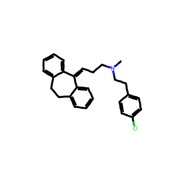 CN(CCC=C1c2ccccc2CCc2ccccc21)CCc1ccc(Cl)cc1